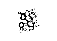 CC(C)[C@@H](C[Si](C)(C)O)N1C(=O)[C@@](C)(CC(=O)O)C[C@H](c2cccc(Cl)c2)C1c1ccc(Cl)cc1